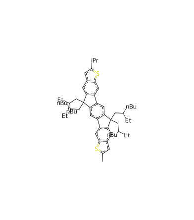 CCCCC(CC)CC1(CC(CC)CCCC)c2cc3c(cc2-c2cc4sc(C)cc4cc21)C(CC(CC)CCCC)(CC(CC)CCCC)c1cc2cc(C(C)C)sc2cc1-3